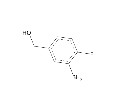 Bc1cc(CO)ccc1F